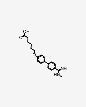 CNC(=N)c1ccc(-c2ccc(OCCCCCC(=O)O)cc2)cc1